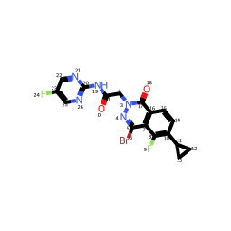 O=C(Cn1nc(Br)c2c(F)c(C3CC3)ccc2c1=O)Nc1ncc(F)cn1